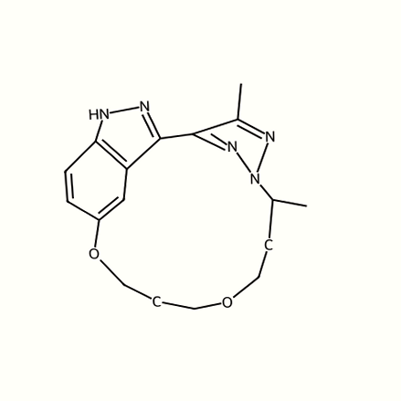 Cc1nn2nc1-c1n[nH]c3ccc(cc13)OCCCOCCC2C